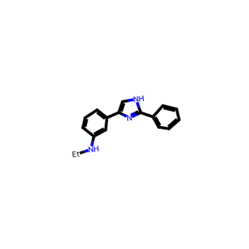 CCNc1cccc(-c2c[nH]c(-c3ccccc3)n2)c1